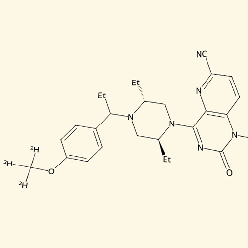 [2H]C([2H])([2H])Oc1ccc(C(CC)N2C[C@H](CC)N(c3nc(=O)n(C)c4ccc(C#N)nc34)C[C@H]2CC)cc1